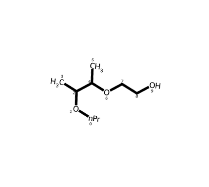 CCCOC(C)C(C)OCCO